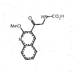 COc1nc2ccccc2cc1C(=O)CNC(=O)O